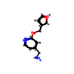 NCc1ccnc(OCc2ccoc2)c1